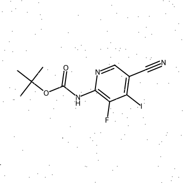 CC(C)(C)OC(=O)Nc1ncc(C#N)c(I)c1F